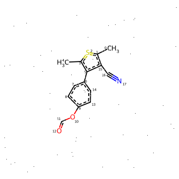 Cc1sc(C)c(-c2ccc(OC=O)cc2)c1C#N